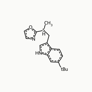 C[SH](Cc1c[nH]c2cc(C(C)(C)C)ccc12)c1ncco1